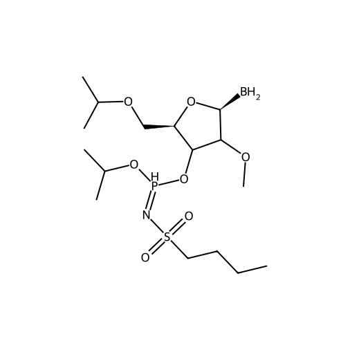 B[C@@H]1O[C@H](COC(C)C)C(O/[PH](=N\S(=O)(=O)CCCC)OC(C)C)C1OC